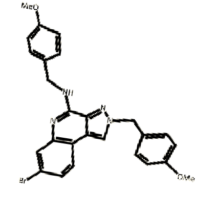 COc1ccc(CNc2nc3cc(Br)ccc3c3cn(Cc4ccc(OC)cc4)nc23)cc1